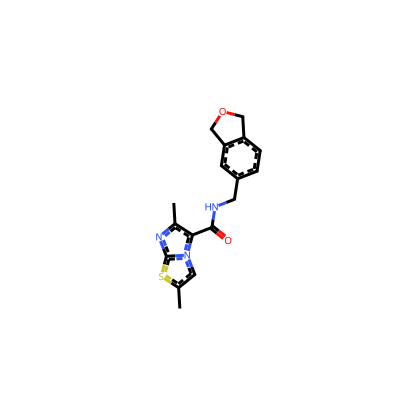 Cc1cn2c(C(=O)NCc3ccc4c(c3)COC4)c(C)nc2s1